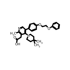 Cc1ncc(-c2ccc(OCCOc3ccccc3)cc2)c(N2CCC(C)(C)CC2)c1CC(=O)O